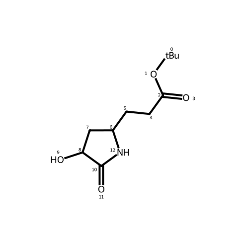 CC(C)(C)OC(=O)CCC1CC(O)C(=O)N1